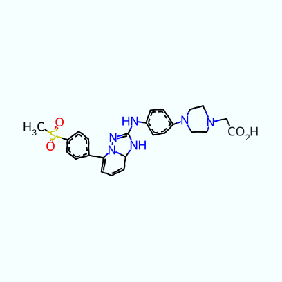 CS(=O)(=O)c1ccc(C2=CC=CC3NC(Nc4ccc(N5CCN(CC(=O)O)CC5)cc4)=NN23)cc1